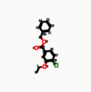 CCOc1cc(C(=O)OCc2ccccc2)ccc1Cl